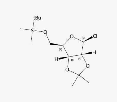 CC1(C)O[C@@H]2[C@H](O1)[C@@H](CO[Si](C)(C)C(C)(C)C)O[C@H]2Cl